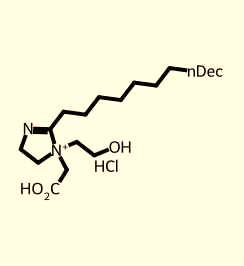 CCCCCCCCCCCCCCCCCC1=NCC[N+]1(CCO)CC(=O)O.Cl